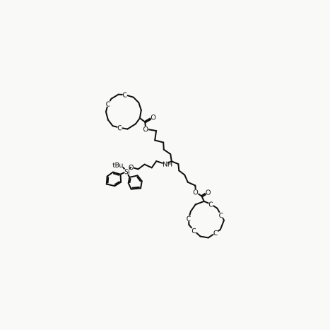 CC(C)(C)[Si](OCCCCNC(CCCCCOC(=O)C1CCCCCCCCCCCCC1)CCCCCOC(=O)C1CCCCCCCCCCCCC1)(c1ccccc1)c1ccccc1